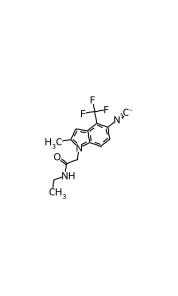 [C-]#[N+]c1ccc2c(cc(C)n2CC(=O)NCC)c1C(F)(F)F